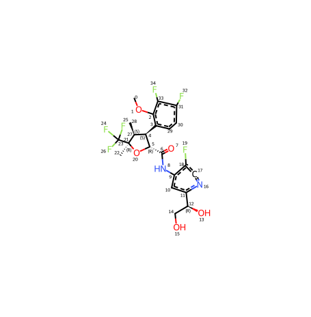 COc1c([C@H]2[C@H](C(=O)Nc3cc([C@@H](O)CO)ncc3F)O[C@@](C)(C(F)(F)F)[C@H]2C)ccc(F)c1F